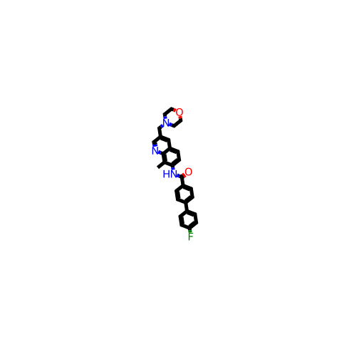 Cc1c(NC(=O)c2ccc(-c3ccc(F)cc3)cc2)ccc2cc(CN3CCOCC3)cnc12